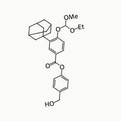 CCOC(OC)Oc1ccc(C(=O)Oc2ccc(CO)cc2)cc1C12CC3CC(CC(C3)C1)C2